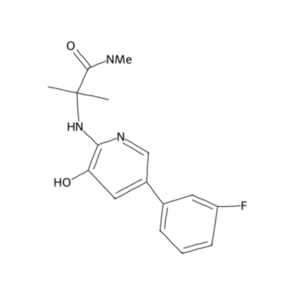 CNC(=O)C(C)(C)Nc1ncc(-c2cccc(F)c2)cc1O